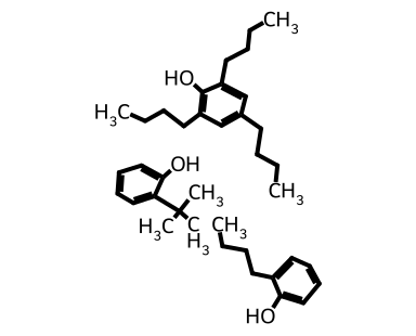 CC(C)(C)c1ccccc1O.CCCCc1cc(CCCC)c(O)c(CCCC)c1.CCCCc1ccccc1O